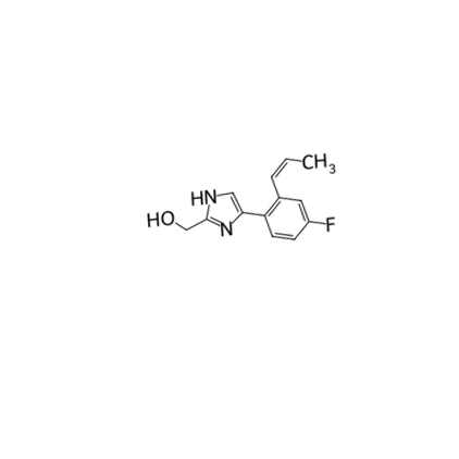 C/C=C\c1cc(F)ccc1-c1c[nH]c(CO)n1